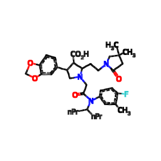 CCCC(CCC)N(C(=O)CN1CC(c2ccc3c(c2)OCO3)C(C(=O)O)C1CCN1CC(C)(C)CC1=O)c1ccc(F)c(C)c1